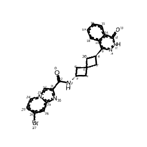 O=C(N[C@H]1CC2(C1)C[C@H](c1n[nH]c(=O)c3ccccc31)C2)c1cn2ccc(Br)cc2n1